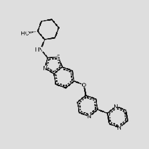 O[C@@H]1CCCC[C@H]1Nc1nc2ccc(Oc3ccnc(-c4cnccn4)c3)cc2s1